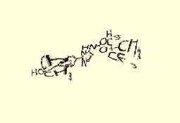 CC(C)(O)c1ccc(-c2nccc(NC(=O)OC(C)(C)C(F)(F)F)n2)cc1